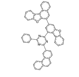 c1ccc(-c2nc(-c3ccc4ccc5ccccc5c4c3)nc(-c3cc(-c4cc5ccccc5c5c4oc4ccccc45)cc4oc5ccccc5c34)n2)cc1